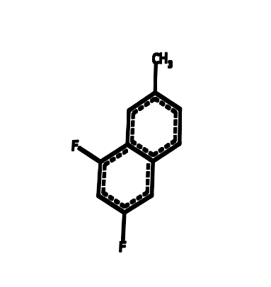 Cc1ccc2cc(F)cc(F)c2c1